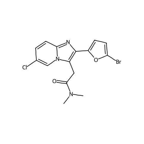 CN(C)C(=O)Cc1c(-c2ccc(Br)o2)nc2ccc(Cl)cn12